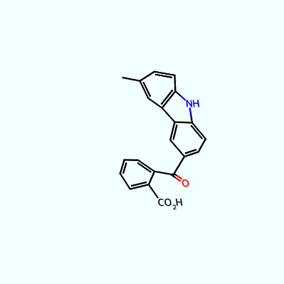 Cc1ccc2[nH]c3ccc(C(=O)c4ccccc4C(=O)O)cc3c2c1